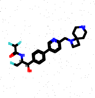 O=C(N[C@H](CF)[C@H](O)c1ccc(-c2ccc(CN3CCC34CCNCC4)nc2)cc1)C(F)F